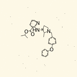 CC(C)OC(=O)c1cccnc1N[C@@H]1CCN(Cc2ccc(Oc3ccccc3)cc2)C1C